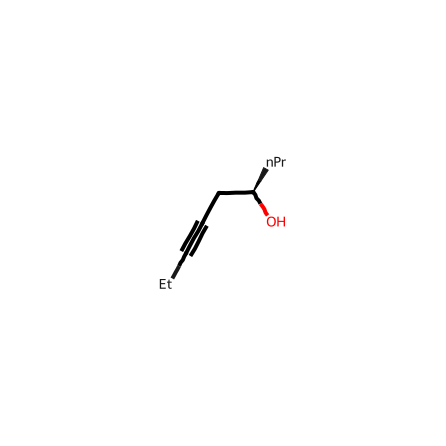 CCC#CC[C@H](O)CCC